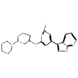 Clc1cc(-c2c[nH]c3ncccc23)cc(NC2CCCC(N3CCCCC3)C2)n1